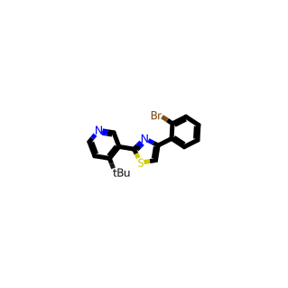 CC(C)(C)c1ccncc1-c1nc(-c2ccccc2Br)cs1